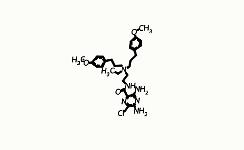 CC[N+](CCCc1ccc(OC)cc1)(CCCc1ccc(OC)cc1)CCNC(=O)c1nc(Cl)c(N)nc1N